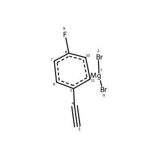 [Br][Mg][Br].[C]#Cc1ccc(F)cc1